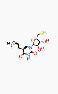 C=CCc1cn([C@@H]2O[C@H](CS)[C@@H](O)[C@H]2O)c(=O)[nH]c1=O